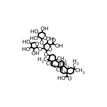 CC1(C)CCC2(C(=O)O)CCC3(C)C(=CCC4C5(C)CCC(OC6OC(C(=O)O)C(O)C(OC7OCC(O)C(O)C7O)C6OC6OCC(O)C(O)C6O)C(C)(C)C5CCC43C)C2C1